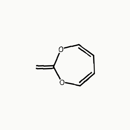 C=C1OC=CC=CO1